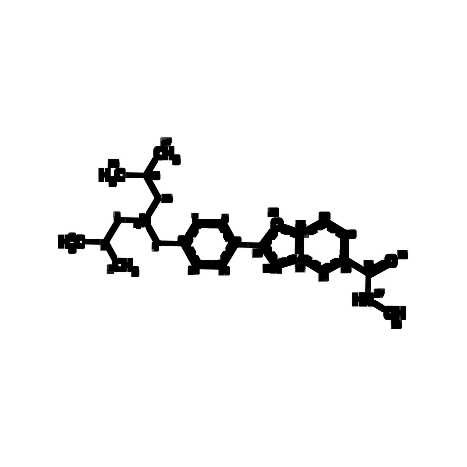 CC(C)CN(Cc1ccc(-c2nc3cc(C(=O)NO)ccc3o2)cc1)CC(C)C